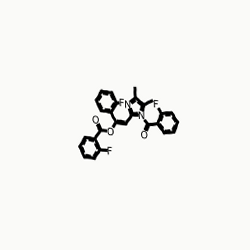 Cc1nc(/C=C(/OC(=O)c2ccccc2F)c2ccccc2F)n(C(=O)c2ccccc2F)c1C